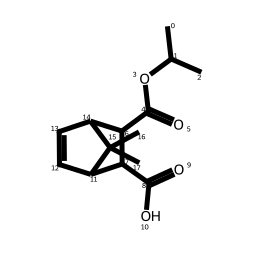 CC(C)OC(=O)C1C(C(=O)O)C2C=CC1C2(C)C